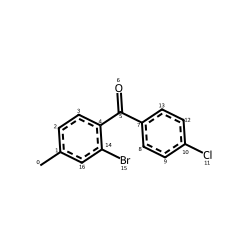 Cc1ccc(C(=O)c2ccc(Cl)cc2)c(Br)c1